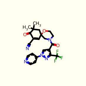 CC1(C)CC2(C=C(C#N)C1=O)CN(C(=O)c1cn(-c3ccncc3)nc1C(F)(F)F)CCO2